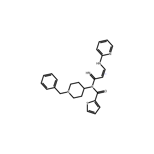 N=C(/C=C\Nc1ccccn1)N(C(=O)c1cccs1)C1CCN(Cc2ccccc2)CC1